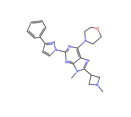 CN1CC(c2nc3c(N4CCOCC4)nc(-n4ccc(-c5ccccc5)n4)nc3n2C)C1